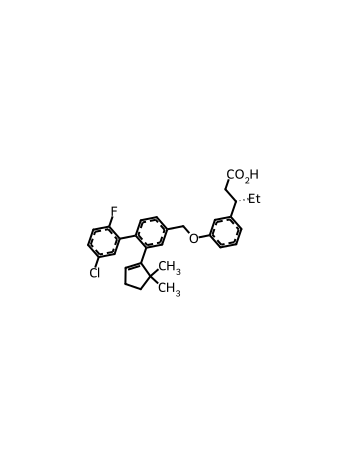 CC[C@@H](CC(=O)O)c1cccc(OCc2ccc(-c3cc(Cl)ccc3F)c(C3=CCCC3(C)C)c2)c1